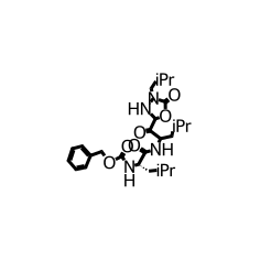 CC(C)CC(NC(=O)[C@H](CC(C)C)NC(=O)OCc1ccccc1)C(=O)C1NN(CC(C)C)C(=O)O1